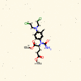 Cc1cc(N(C(N)=O)[C@@H](CCC(=O)OC(C)(C)C)C(=O)OC(C)(C)C)ccc1N(CCCl)CCCl